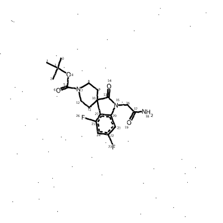 CC(C)(C)OC(=O)N1CCC2(CC1)C(=O)N(CC(N)=O)c1cc(F)cc(F)c12